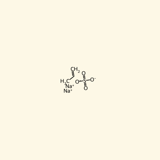 C=CC.O=S(=O)([O-])[O-].[Na+].[Na+]